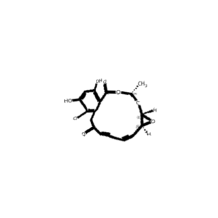 C[C@@H]1C[C@@H]2O[C@H]2C=CC=CC(=O)Cc2c(Cl)c(O)cc(O)c2C(=O)O1